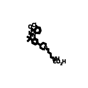 CC1(C)c2ccc(C3CCN(CCCCNC(=O)O)CC3)cc2-n2c1nc(=O)c1c(Cl)cccc12